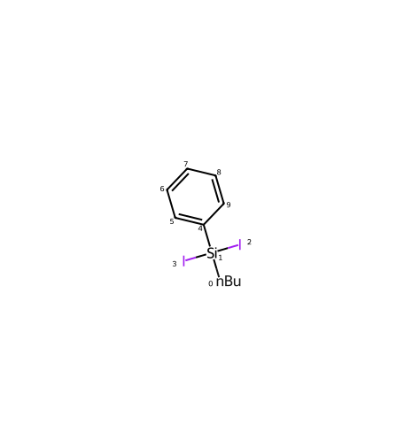 CCCC[Si](I)(I)c1ccccc1